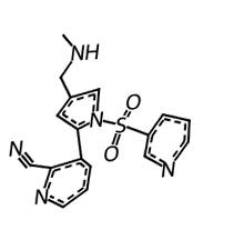 CNCc1cc(-c2cccnc2C#N)n(S(=O)(=O)c2cccnc2)c1